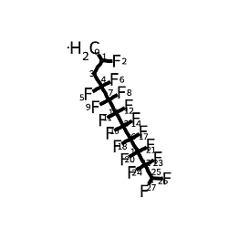 [CH2]C(F)CC(F)(F)C(F)(F)C(F)(F)C(F)(F)C(F)(F)C(F)(F)C(F)(F)[C](F)F